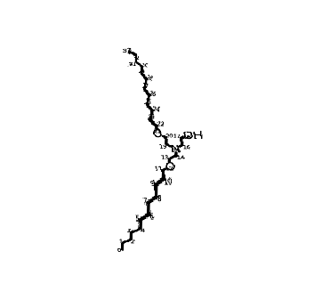 CCCCCCCCCCCCOCCN(CCO)CCOCCCCCCCCCCCC